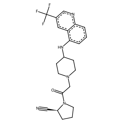 N#C[C@@H]1CCCN1C(=O)CN1CCC(Nc2cccc3ncc(C(F)(F)F)cc23)CC1